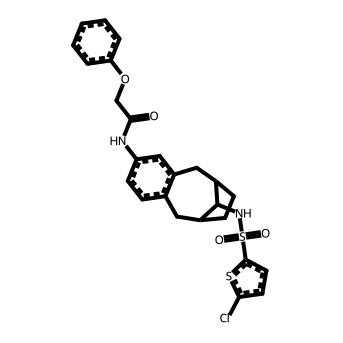 O=C(COc1ccccc1)Nc1ccc2c(c1)CC1CCC(C2)C1NS(=O)(=O)c1ccc(Cl)s1